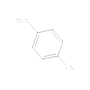 [CH2]Nc1ccc(C#N)cc1